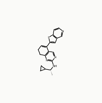 C[C@@H](Nc1ncc2c(n1)CCC=C2c1cc2cnccc2s1)C1CC1